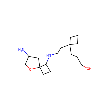 NC1COC2(CCC2NCCC2(CCCO)CCC2)C1